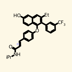 CCc1cc2cc(O)ccc2c(Oc2ccc(/C=C/C(=O)NC(C)C)cc2)c1-c1cccc(C(F)(F)F)c1